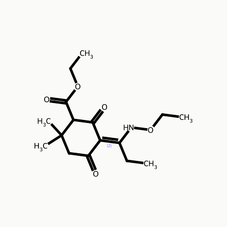 CCON/C(CC)=C1/C(=O)CC(C)(C)C(C(=O)OCC)C1=O